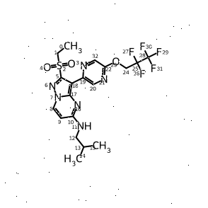 CCS(=O)(=O)c1nn2ccc(NCC(C)C)nc2c1-c1cnc(OCC(F)(F)C(F)(F)F)cn1